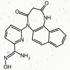 N/C(=N\O)c1cccc(N2C(=O)CC(=O)Nc3c2ccc2ccccc32)n1